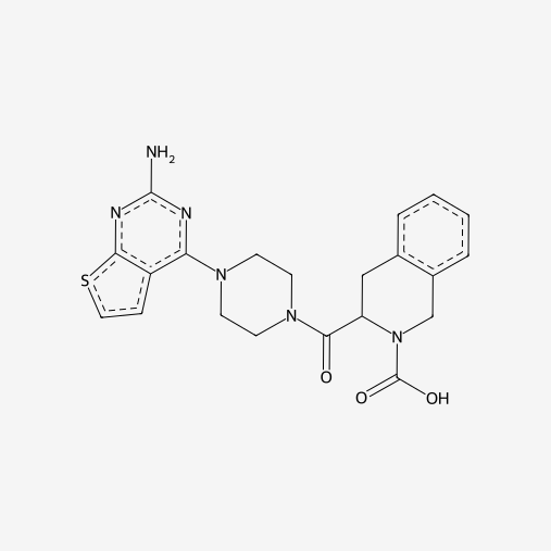 Nc1nc(N2CCN(C(=O)C3Cc4ccccc4CN3C(=O)O)CC2)c2ccsc2n1